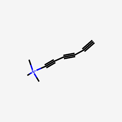 C#CC#CC#C[N+](C)(C)C